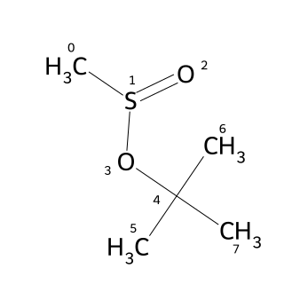 CS(=O)OC(C)(C)C